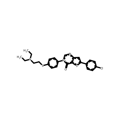 CCN(CC)CCSc1ccc(-n2cnc3cc(-c4ccc(Cl)cc4)sc3c2=O)cc1